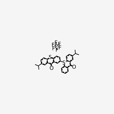 CC(C)c1ccc2sc3ccc(-[s+]4c5ccccc5c(=O)c5cc(C(C)C)ccc54)cc3c(=O)c2c1.F[P-](F)(F)(F)(F)F